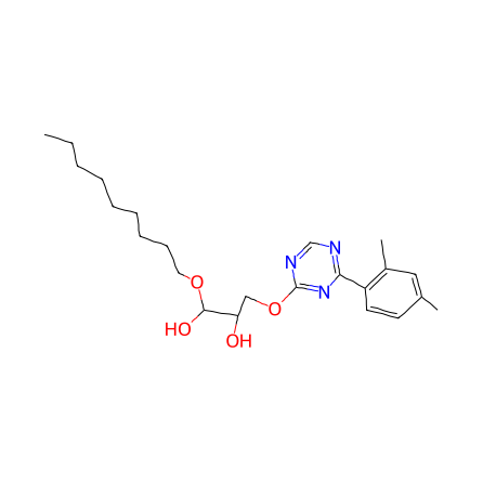 CCCCCCCCCOC(O)C(O)COc1ncnc(-c2ccc(C)cc2C)n1